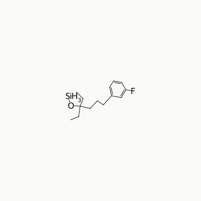 CCC(CC)(CCCc1cccc(F)c1)O[SiH3]